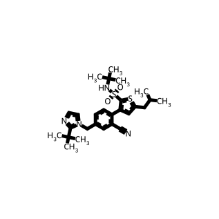 CC(C)Cc1cc(-c2ccc(Cn3ccnc3C(C)(C)C)cc2C#N)c(S(=O)(=O)NC(C)(C)C)s1